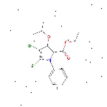 CCOC(=O)c1c(OC(C)C)c(Br)c(Br)n1-c1ccccc1